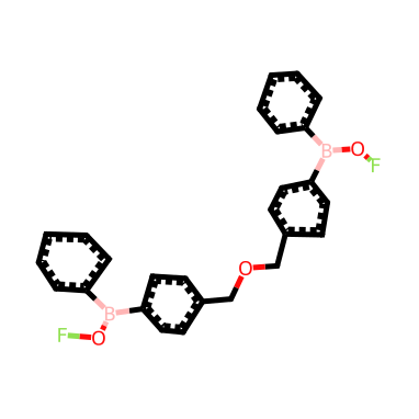 FOB(c1ccccc1)c1ccc(COCc2ccc(B(OF)c3ccccc3)cc2)cc1